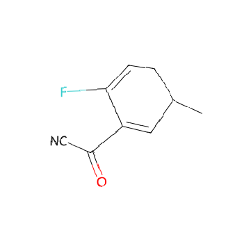 CC1C=C(C(=O)C#N)C(F)=CC1